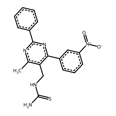 Cc1nc(-c2ccccc2)nc(-c2cccc([N+](=O)[O-])c2)c1CNC(N)=S